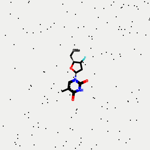 COC[C@H]1O[C@@H](n2cc(C)c(=O)[nH]c2=O)CC1F